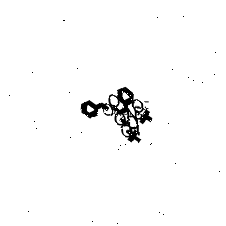 CC(C)(C)OC(=O)O[C@@H](C(=O)OCc1ccccc1)[C@@H](N[S+]([O-])C(C)(C)C)c1ccccc1